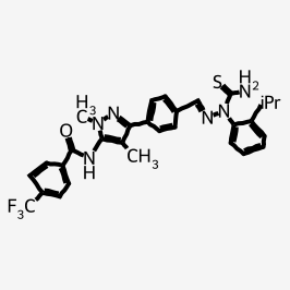 Cc1c(-c2ccc(/C=N/N(C(N)=S)c3ccccc3C(C)C)cc2)nn(C)c1NC(=O)c1ccc(C(F)(F)F)cc1